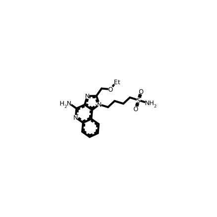 CCOCc1nc2c(N)nc3ccccc3c2n1CCCCS(N)(=O)=O